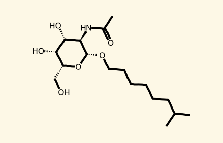 CC(=O)N[C@H]1[C@H](OCCCCCCC(C)C)O[C@H](CO)[C@H](O)[C@@H]1O